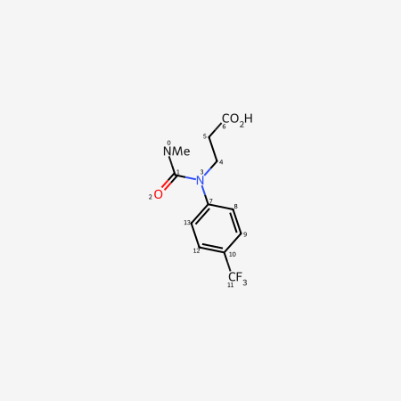 CNC(=O)N(CCC(=O)O)c1ccc(C(F)(F)F)cc1